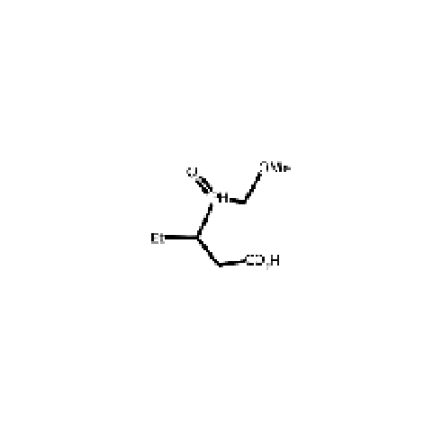 CCC(CC(=O)O)[PH](=O)COC